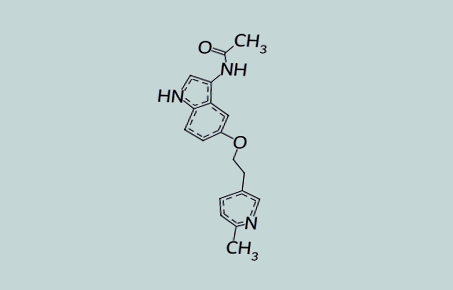 CC(=O)Nc1c[nH]c2ccc(OCCc3ccc(C)nc3)cc12